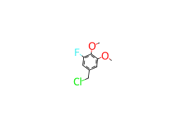 COc1cc(CCl)cc(F)c1OC